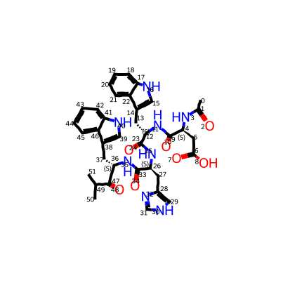 CC(=O)N[C@@H](CC(=O)O)C(=O)N[C@@H](Cc1c[nH]c2ccccc12)C(=O)N[C@@H](Cc1c[nH]cn1)C(=O)N[C@@H](Cc1c[nH]c2ccccc12)C(=O)C(C)C